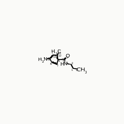 CCCNC(=O)c1ccc(N)cc1C